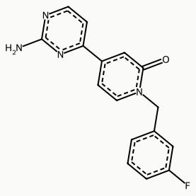 Nc1nccc(-c2ccn(Cc3cccc(F)c3)c(=O)c2)n1